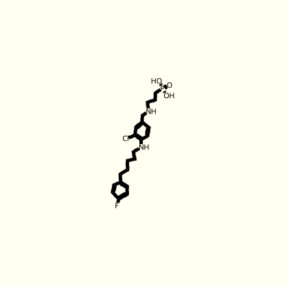 O=P(O)(O)CCCNCc1ccc(NCCCCCc2ccc(F)cc2)c(Cl)c1